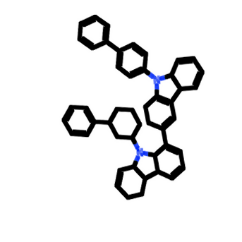 C1=CC2C3=C(CCC(C4=CC=CC5C6CCC=CC6N(C6CCCC(c7ccccc7)C6)C45)=C3)N(c3ccc(-c4ccccc4)cc3)C2C=C1